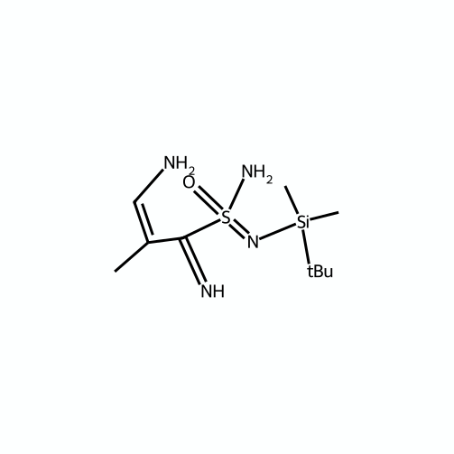 C/C(=C/N)C(=N)S(N)(=O)=N[Si](C)(C)C(C)(C)C